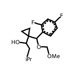 COCOC(c1ccc(F)cc1F)C1(C(O)CC(C)C)CC1